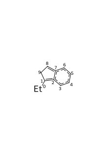 [CH2]CC1=c2ccccc2=CC1